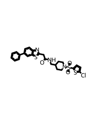 O=C(Cc1nc2ccc(-c3ccccc3)cc2s1)NCC1CCN(S(=O)(=O)c2ccc(Cl)s2)CC1